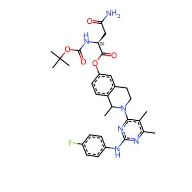 Cc1nc(Nc2ccc(F)cc2)nc(N2CCc3cc(OC(=O)[C@H](CC(N)=O)NC(=O)OC(C)(C)C)ccc3C2C)c1C